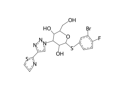 OCC1OC(Sc2ccc(F)c(Br)c2)C(O)C(n2cc(-c3nccs3)nn2)C1O